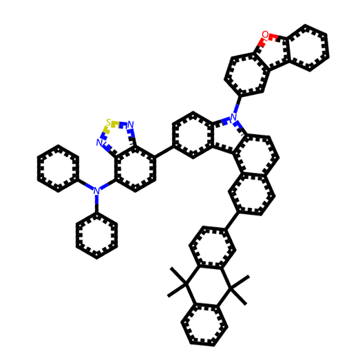 CC1(C)c2ccccc2C(C)(C)c2cc(-c3ccc4ccc5c(c4c3)c3cc(-c4ccc(N(c6ccccc6)c6ccccc6)c6nsnc46)ccc3n5-c3ccc4oc5ccccc5c4c3)ccc21